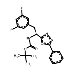 CC(C)(C)OC(=O)N[C@@H](Cc1cc(F)cc(F)c1)c1nnc(-c2ccccc2)o1